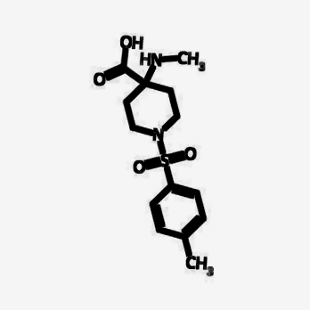 CNC1(C(=O)O)CCN(S(=O)(=O)c2ccc(C)cc2)CC1